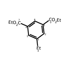 CCOC(=O)c1cc(CC)cc(C(=O)OCC)c1